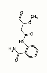 COC(C=O)CC(=O)Nc1ccccc1C(N)=O